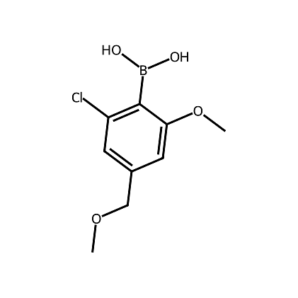 COCc1cc(Cl)c(B(O)O)c(OC)c1